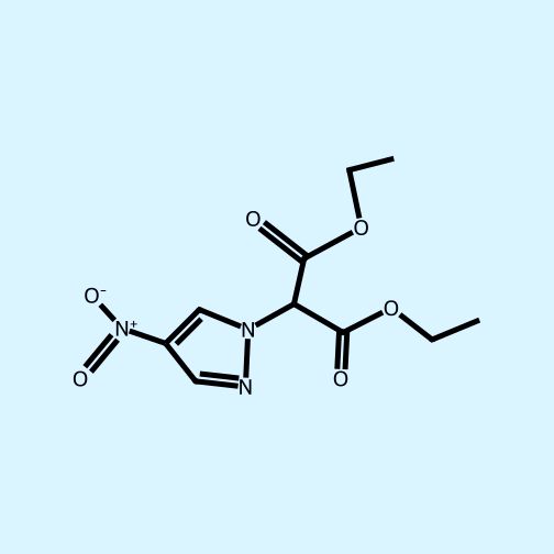 CCOC(=O)C(C(=O)OCC)n1cc([N+](=O)[O-])cn1